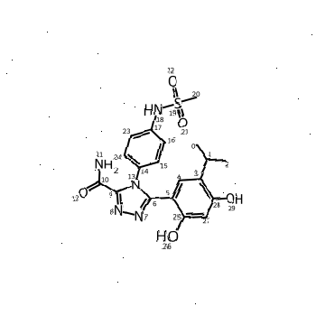 CC(C)c1cc(-c2nnc(C(N)=O)n2-c2ccc(NS(C)(=O)=O)cc2)c(O)cc1O